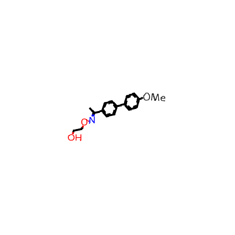 COc1ccc(-c2ccc(C(C)=NOCCO)cc2)cc1